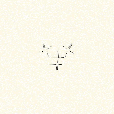 NC(CP(=O)(O)O)(CP(=O)(O)O)P(=O)(O)O